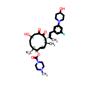 C/C(=C\c1cc(F)cc(N2CCC(O)CC2)c1)[C@H]1C(=O)C(=O)C[C@H](O)CC[C@H](C)[C@@H](OC(=O)N2CCN(C)CC2)/C=C/[C@@H]1C